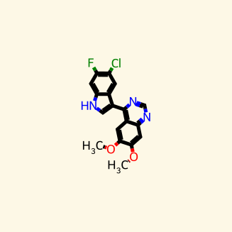 COc1cc2ncnc(-c3c[nH]c4cc(F)c(Cl)cc34)c2cc1OC